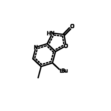 Cc1cnc2[nH]c(=O)oc2c1C(C)(C)C